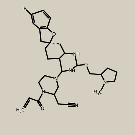 C=CC(=O)N1CCN(C2NC(OCC3CCCN3C)NC3C[C@]4(CCC32)Cc2cc(F)ccc2O4)CC1CC#N